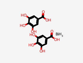 O=C(O)c1cc(O)c(O)c(O)c1.O=C(O)c1cc(O)c(O)c(O)c1.[BiH3]